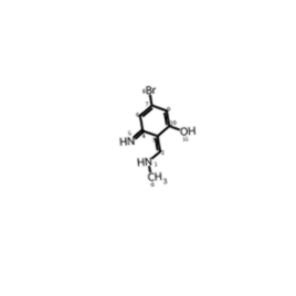 CN/C=C1\C(=N)C=C(Br)C=C1O